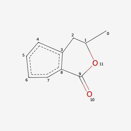 CC1Cc2ccccc2C(=O)O1